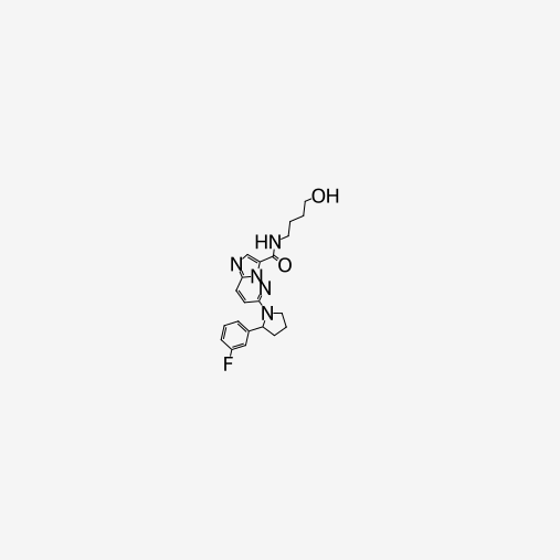 O=C(NCCCCO)c1cnc2ccc(N3CCCC3c3cccc(F)c3)nn12